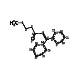 CCCCC(=O)C=C(c1ccccc1)c1ccccc1